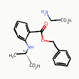 C[C@H](Nc1ccccc1C(=O)OCc1ccccc1)C(=O)O.NCC(=O)O